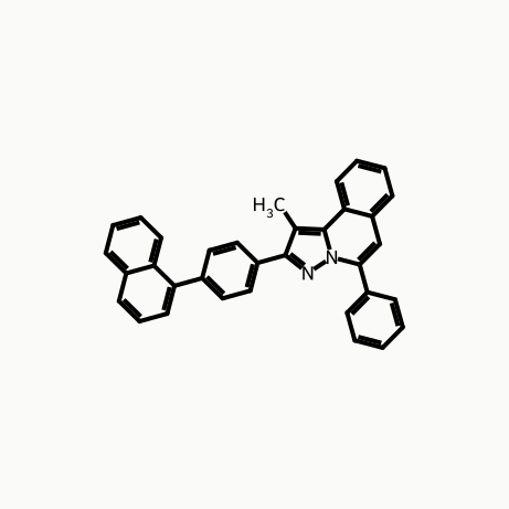 Cc1c(-c2ccc(-c3cccc4ccccc34)cc2)nn2c(-c3ccccc3)cc3ccccc3c12